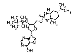 C=C(C)[C@@H]1CC[C@]2(C)S[P@@](=S)(OC[C@H]3O[C@@H](n4cnc5c(O)ncnc54)CC3O[Si](C)(C)C(C)(C)C)O[C@H]2C1